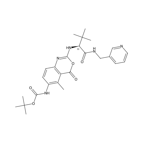 Cc1c(NC(=O)OC(C)(C)C)ccc2nc(N[C@H](C(=O)NCc3cccnc3)C(C)(C)C)oc(=O)c12